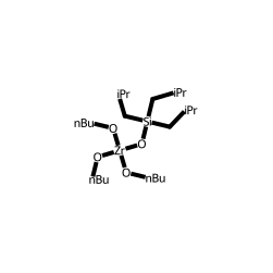 CCCC[O][Zr]([O]CCCC)([O]CCCC)[O][Si](CC(C)C)(CC(C)C)CC(C)C